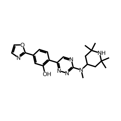 CN(c1ncc(-c2ccc(-c3ncco3)cc2O)nn1)C1CC(C)(C)NC(C)(C)C1